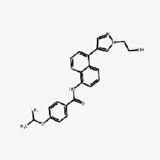 CC(C)Oc1ccc(C(=O)Nc2cccc3c(-c4cnn(CCO)c4)ccnc23)cc1